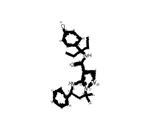 CCC(CC)(NC(=O)c1cnn2c1NC(c1ccccc1)CC2(C)C)c1ccc(Cl)cc1